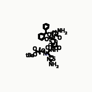 C[C@@H]1CN(N)C(=O)N1[C@]1(C(=O)OC(c2ccccc2)c2ccccc2)CN2C(=O)[C@@H](NC(=O)/C(=N\OC(C)(C)C(=O)OC(C)(C)C)c3csc(N)n3)[C@H]2S1